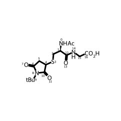 CC(=O)N[C@H](CSC1CC(=O)N(C(C)(C)C)C1=O)C(=O)NCC(=O)O